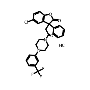 Cl.O=C(CC1(c2ccccc2)C(=O)Oc2ccc(Cl)cc21)N1CCN(c2cccc(C(F)(F)F)c2)CC1